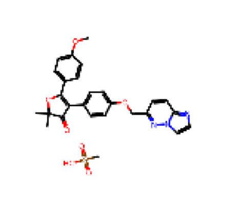 COc1ccc(C2=C(c3ccc(OCc4ccc5nccn5n4)cc3)C(=O)C(C)(C)O2)cc1.CS(=O)(=O)O